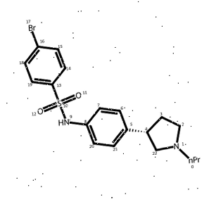 CCCN1CC[C@@H](c2ccc(NS(=O)(=O)c3ccc(Br)cc3)cc2)C1